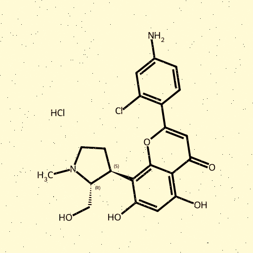 CN1CC[C@@H](c2c(O)cc(O)c3c(=O)cc(-c4ccc(N)cc4Cl)oc23)[C@@H]1CO.Cl